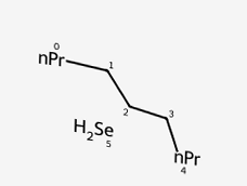 CCCCCCCCC.[SeH2]